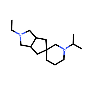 CCN1CC2CC3(CCCN(C(C)C)C3)CC2C1